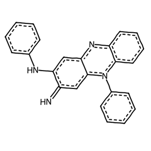 N=c1cc2n(-c3ccccc3)c3ccccc3nc-2cc1Nc1ccccc1